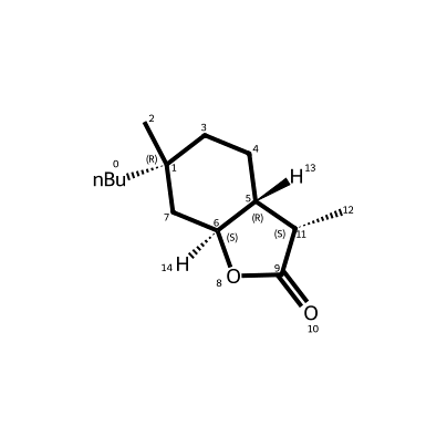 CCCC[C@]1(C)CC[C@H]2[C@H](C1)OC(=O)[C@H]2C